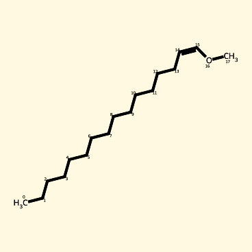 CCCCCCCCCCCCCC/C=C\OC